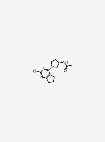 CC(=O)NC1CCN(c2nc(Cl)nc3c2CCC3)C1